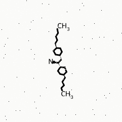 CCCCCC[C@H]1CC[C@H](CC(C#N)[C@H]2CC[C@H](CCCCC)CC2)CC1